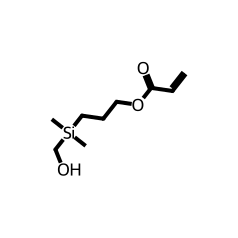 C=CC(=O)OCCC[Si](C)(C)CO